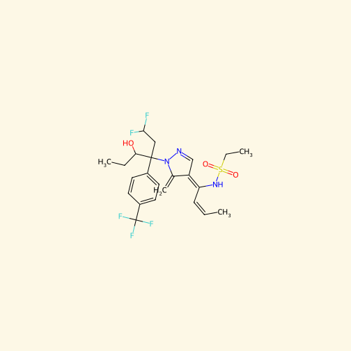 C=c1/c(=C(\C=C/C)NS(=O)(=O)CC)cnn1C(CC(F)F)(c1ccc(C(F)(F)F)cc1)C(O)CC